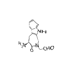 N[C@H]1Cc2c([nH]c3ccccc23)CN(CC=O)C1=O